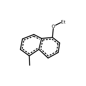 CCOc1cccc2c(C)cccc12